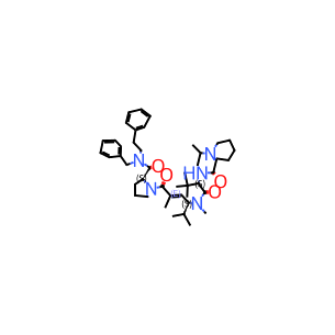 C/C(=C\[C@H](C(C)C)N(C)C(=O)[C@@H](NC(=O)C1CCCCN1C(C)C)C(C)(C)C)C(=O)N1CCC[C@H]1C(=O)N(CCc1ccccc1)Cc1ccccc1